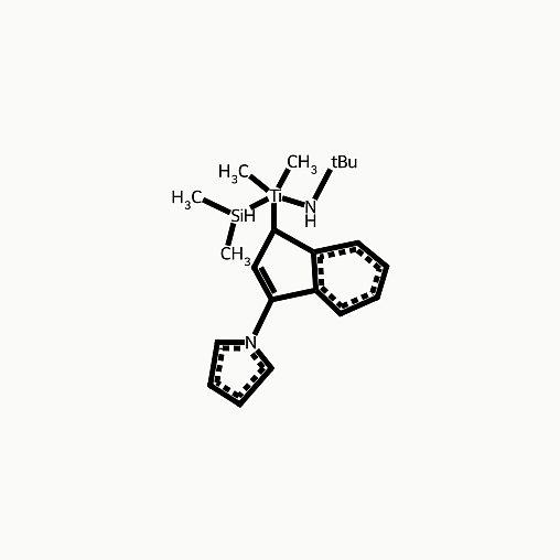 C[SiH](C)[Ti]([CH3])([CH3])([NH]C(C)(C)C)[CH]1C=C(n2cccc2)c2ccccc21